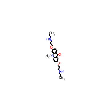 CCCNCCCOc1ccc2c(c1)c(=O)c1ccc(OCCCNCCC)cc1n2C